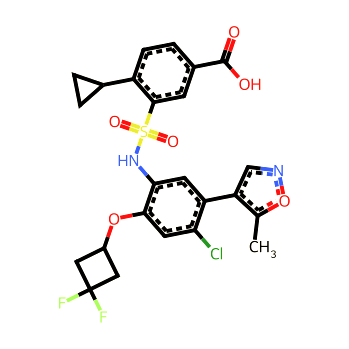 Cc1oncc1-c1cc(NS(=O)(=O)c2cc(C(=O)O)ccc2C2CC2)c(OC2CC(F)(F)C2)cc1Cl